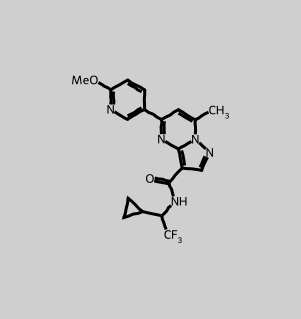 COc1ccc(-c2cc(C)n3ncc(C(=O)NC(C4CC4)C(F)(F)F)c3n2)cn1